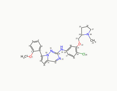 COc1ccccc1-c1ccc2cnc(Nc3ccc(Cl)c(OCC4CCCN4C)c3)nn12